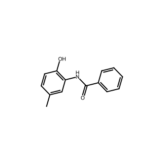 Cc1ccc(O)c(NC(=O)c2ccccc2)c1